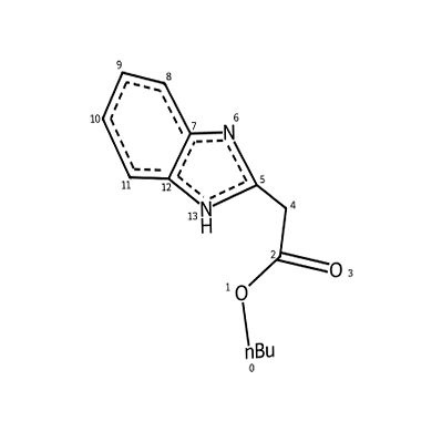 CCCCOC(=O)Cc1nc2ccccc2[nH]1